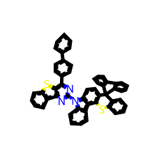 c1ccc(-c2ccc(-c3nc(-n4c5ccccc5c5c6c(ccc54)C4(c5ccccc5S6)c5ccccc5-c5ccccc54)nc4c3sc3ccccc34)cc2)cc1